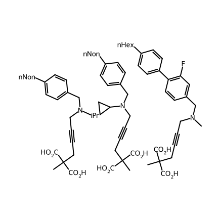 CCCCCCCCCc1ccc(CN(CC#CCC(C)(C(=O)O)C(=O)O)C(C)C)cc1.CCCCCCCCCc1ccc(CN(CC#CCC(C)(C(=O)O)C(=O)O)C2CC2)cc1.CCCCCCc1ccc(-c2ccc(CN(C)CC#CCC(C)(C(=O)O)C(=O)O)cc2F)cc1